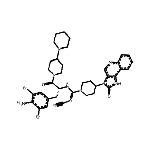 N#CN=C(N[C@H](Cc1cc(Br)c(N)c(Br)c1)C(=O)N1CCC(N2CCCCC2)CC1)N1CCC(n2c(=O)[nH]c3c4ccccc4ncc32)CC1